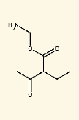 CCC(C(C)=O)C(=O)OCN